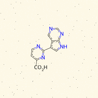 O=C(O)c1ccnc(-c2c[nH]c3ncncc23)n1